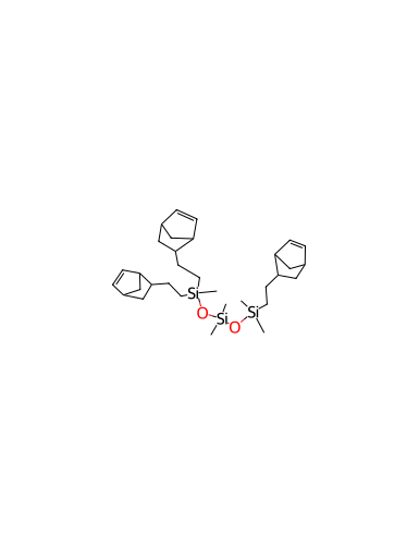 C[Si](C)(CCC1CC2C=CC1C2)O[Si](C)(C)O[Si](C)(CCC1CC2C=CC1C2)CCC1CC2C=CC1C2